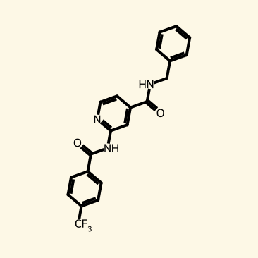 O=C(NCc1ccccc1)c1ccnc(NC(=O)c2ccc(C(F)(F)F)cc2)c1